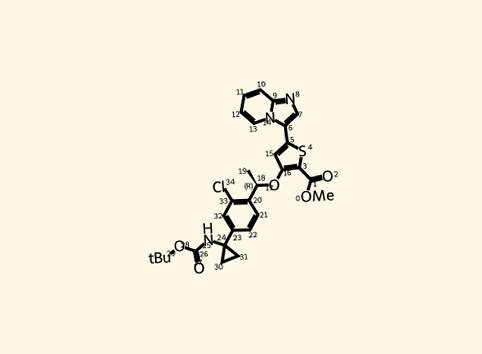 COC(=O)c1sc(-c2cnc3ccccn23)cc1O[C@H](C)c1ccc(C2(NC(=O)OC(C)(C)C)CC2)cc1Cl